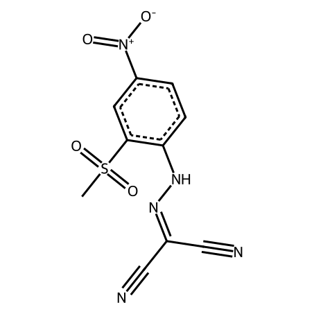 CS(=O)(=O)c1cc([N+](=O)[O-])ccc1NN=C(C#N)C#N